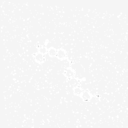 CNc1ccc2c(c1)N(C(=O)c1cc(Nc3ccc4c(c3)CC3(C4)C(=O)Nc4ncccc43)ncn1)CC2